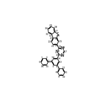 c1ccc(-c2cc(-c3ccccc3)cc(-c3ncnc(-c4ccc5c(c4)sc4ccccc45)n3)c2)cc1